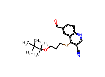 CC(C)(C)[Si](C)(C)OCCCSc1c(C#N)cnc2ccc(C=O)cc12